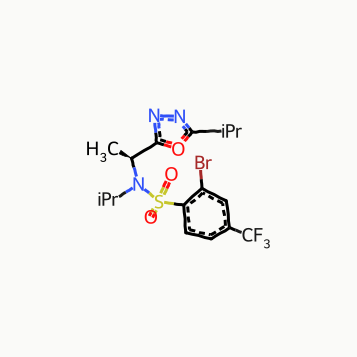 CC(C)c1nnc([C@H](C)N(C(C)C)S(=O)(=O)c2ccc(C(F)(F)F)cc2Br)o1